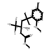 COC(=O)C[C@](O)(CC(C)(C)c1cc(C)ccc1OC)C(F)(F)F